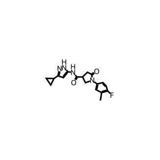 Cc1cc(N2CC(C(=O)Nc3cc(C4CC4)n[nH]3)CC2=O)ccc1F